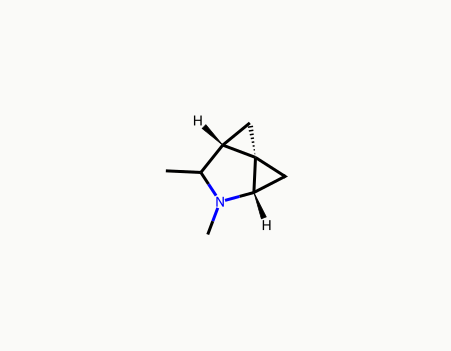 CC1[C@@H]2C[C@@]23C[C@@H]3N1C